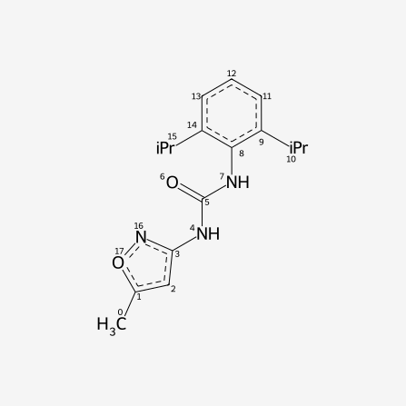 Cc1cc(NC(=O)Nc2c(C(C)C)cccc2C(C)C)no1